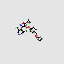 Clc1cncc(Cl)c1-c1noc(C2CC2)c1COC12CCC(COc3nccs3)(CC1)CC2